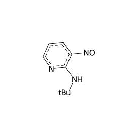 CC(C)(C)Nc1ncccc1N=O